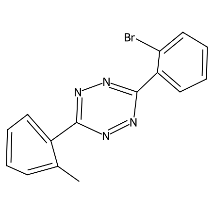 Cc1ccccc1-c1nnc(-c2ccccc2Br)nn1